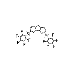 C[Si](C)(c1ccc2c(c1)-c1cc([Si](C)(C)c3c(F)c(F)c(F)c(F)c3F)ccc1C2)c1c(F)c(F)c(F)c(F)c1F